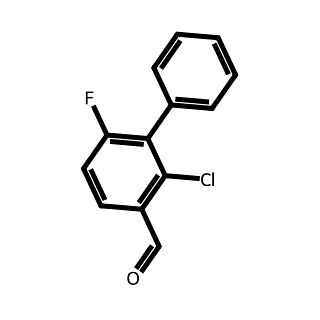 O=Cc1ccc(F)c(-c2ccccc2)c1Cl